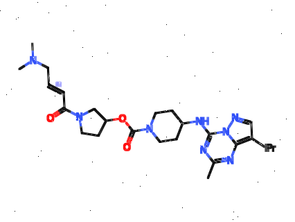 Cc1nc(NC2CCN(C(=O)OC3CCN(C(=O)/C=C/CN(C)C)C3)CC2)n2ncc(C(C)C)c2n1